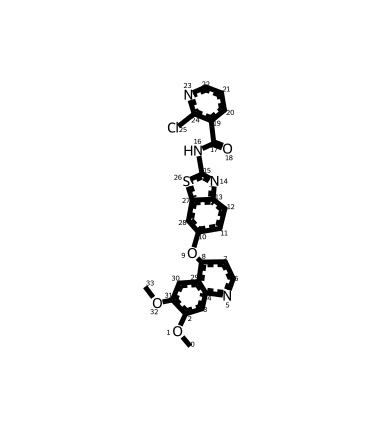 COc1cc2nccc(Oc3ccc4nc(NC(=O)c5cccnc5Cl)sc4c3)c2cc1OC